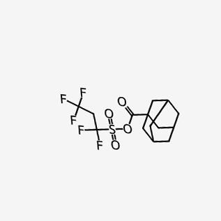 O=C(OS(=O)(=O)C(F)(F)CC(F)(F)F)C12CC3CC(CC(C3)C1)C2